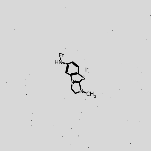 CCNc1ccc2sc3[n+](c2c1)CCN3C.[I-]